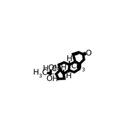 CC(O)(O)[C@H]1CC[C@H]2[C@@H]3CC=C4CC(=O)C=C[C@]4(C)[C@H]3CC[C@]12C